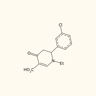 CCN1C=C(C(=O)O)C(=O)CC1c1cccc(Cl)c1